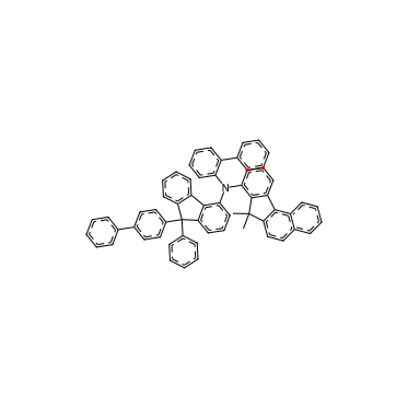 CC1(C)c2ccc3ccccc3c2-c2cccc(N(c3ccccc3-c3ccccc3)c3cccc4c3-c3ccccc3C4(c3ccccc3)c3ccc(-c4ccccc4)cc3)c21